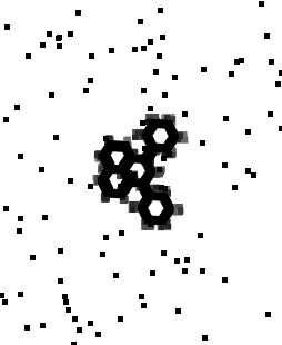 c1cc2c3c(cccc3c1)C(=C1CCCCC1)CC2=C1CCCCC1